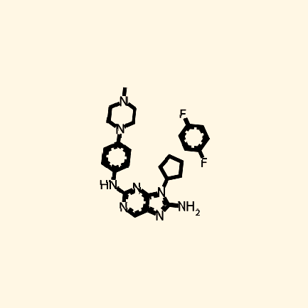 CN1CCN(c2ccc(Nc3ncc4nc(N)n(C5CCCC5)c4n3)cc2)CC1.Fc1ccc(F)cc1